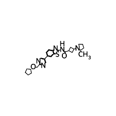 CC1CCCN1C1CC(C(=O)Nc2nc3ccc(-c4cnc(COC5CCCC5)nc4)cc3s2)C1